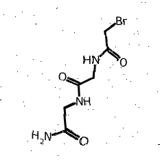 NC(=O)CNC(=O)CNC(=O)CBr